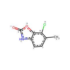 Cc1ccc2[nH]c(=O)oc2c1Cl